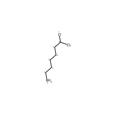 BCCCCCC(Cl)Cl